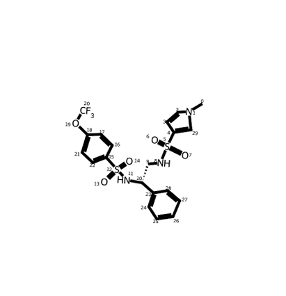 Cn1ccc(S(=O)(=O)NC[C@@H](NS(=O)(=O)c2ccc(OC(F)(F)F)cc2)c2ccccc2)c1